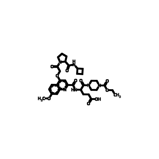 CCOC(=O)N1CCN(C(=O)C(CCC(=O)O)NC(=O)c2cc(OCC(=O)N3CCCC3C(=O)NC3CCC3)c3ccc(OC)cc3n2)CC1